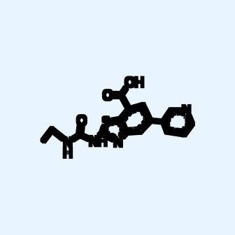 CCNC(=O)Nc1nc2cc(-c3cccnc3)cc(C(=O)O)c2s1